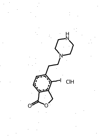 Cl.O=C1OCc2c1ccc(CCN1CCNCC1)c2I